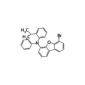 CC(C)c1ccccc1N(c1ccccc1)c1cccc2c1oc1c(Br)cccc12